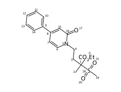 CCOC(=O)C(C)(CCn1ccc(-c2ccccc2)cc1=O)S(C)(=O)=O